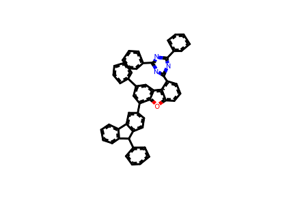 c1ccc(-c2cc(-c3ccc4c(c3)-c3ccccc3C4c3ccccc3)c3oc4cccc(-c5nc(-c6ccccc6)nc(-c6ccccc6)n5)c4c3c2)cc1